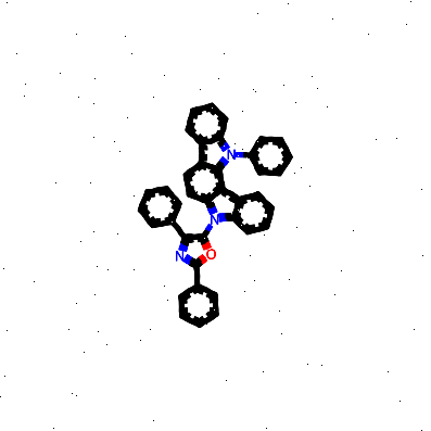 c1ccc(-c2nc(-c3ccccc3)c(-n3c4ccccc4c4c3ccc3c5ccccc5n(-c5ccccc5)c34)o2)cc1